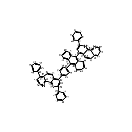 c1ccc(-c2cc(-c3c4ccccc4c(-c4ccc(-c5cc(-c6ccccc6)nc6c5ccc5c(-c7ccccc7)ccnc56)cc4)c4ccccc34)c3ccc4cccnc4c3n2)cc1